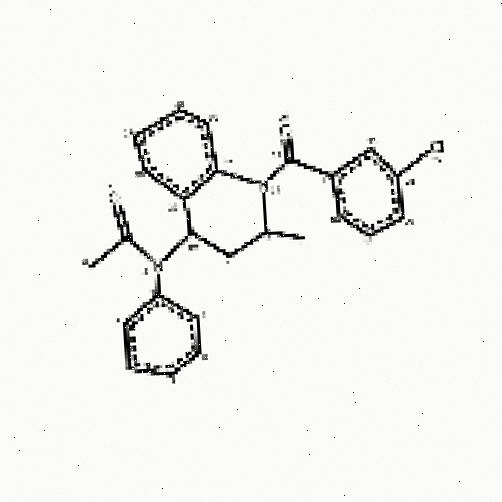 CC(=O)N(c1ccccc1)C1CC(C)N(C(=O)c2cccc(Cl)c2)c2ccccc21